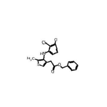 Cc1scc(CC(=O)OCc2ccccc2)c1Nc1cccc(Cl)c1Cl